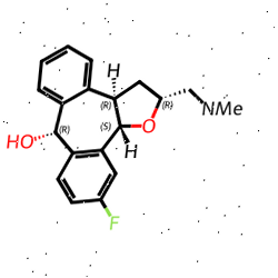 CNC[C@H]1C[C@@H]2c3ccccc3[C@@H](O)c3ccc(F)cc3[C@H]2O1